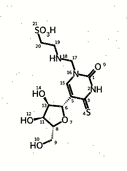 O=c1[nH]c(=S)c([C@@H]2O[C@H](CO)[C@@H](O)[C@H]2O)cn1CNCCS(=O)(=O)O